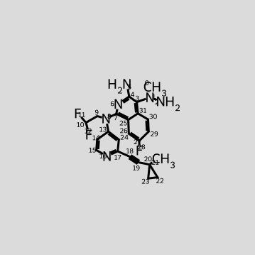 CN(N)c1c(N)nc(N(CC(F)F)c2ccnc(C#CC3(C)CC3)c2)c2cc(F)ccc12